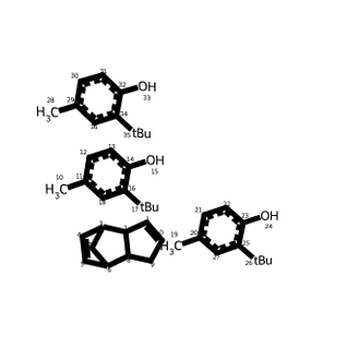 C1=CC2C3C=CC(C3)C2C1.Cc1ccc(O)c(C(C)(C)C)c1.Cc1ccc(O)c(C(C)(C)C)c1.Cc1ccc(O)c(C(C)(C)C)c1